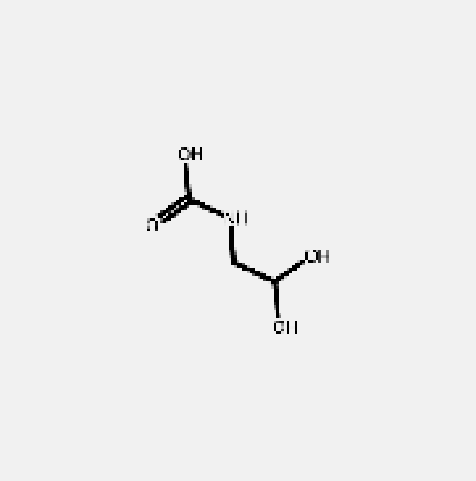 O=C(O)NCC(O)O